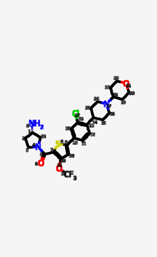 N[C@H]1CCN(C(=O)c2sc(-c3ccc(C4CCN(C5CCOCC5)CC4)c(Cl)c3)cc2OC(F)(F)F)C1